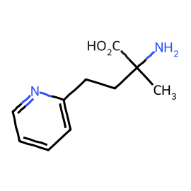 CC(N)(CCc1ccccn1)C(=O)O